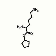 NCCCC[C@H](N)C(=O)OC1CCCC1